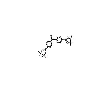 CC1(C)OB(c2ccc(C(=O)c3ccc(B4OC(C)(C)C(C)(C)O4)cc3)cc2)OC1(C)C